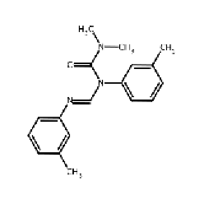 Cc1cccc(N=CN(C(=O)N(C)C)c2cccc(C)c2)c1